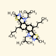 CCCCc1cc2c(cc(CCCC)c3c4sc(C)nc4n(CC(C)C)c23)c2c1c1sc(C)nc1n2CC(C)C